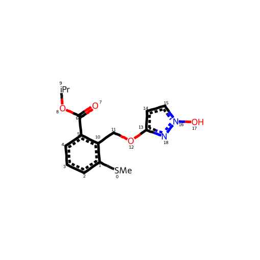 CSc1cccc(C(=O)OC(C)C)c1COc1ccn(O)n1